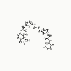 Cc1ccc(CC(=O)Nc2nnc(CCCCc3nnc(NC(=O)Cc4ccccc4)s3)s2)c(F)c1O